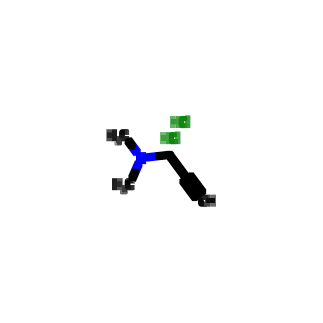 C#CCN(C)C.Cl.Cl